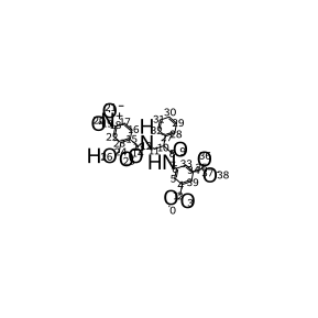 COC(=O)c1cc(NC(=O)C(CNC(=O)c2ccc([N+](=O)[O-])cc2C(=O)O)c2ccccc2)cc(C(=O)OC)c1